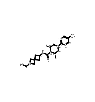 CC(C)CN1CC2(CC(NC(=O)N3[C@H](C)CN(c4ncc(C(F)(F)F)cn4)C[C@@H]3C)C2)C1